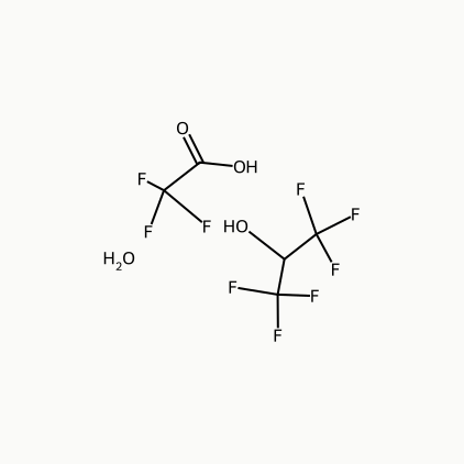 O.O=C(O)C(F)(F)F.OC(C(F)(F)F)C(F)(F)F